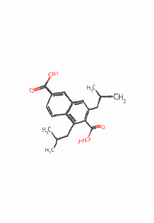 CC(C)Cc1cc2cc(C(=O)O)ccc2c(CC(C)C)c1C(=O)O